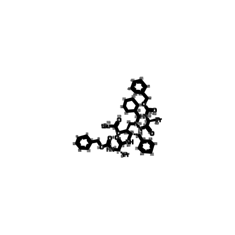 CC(C)[C@H](NC(=O)OCc1ccccc1)C(=O)N[C@@H](Cc1ccccc1)[C@H](CN(CC1CCCCC1)NC(=O)[C@@H](NC(=O)OCc1ccccc1)C(C)C)OC(=O)C(C)(C)C